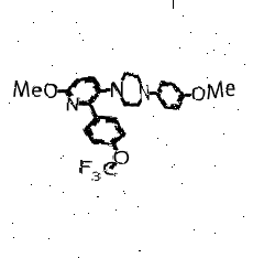 COc1ccc(N2CCN(c3ccc(OC)nc3-c3ccc(OC(F)(F)F)cc3)CC2)cc1